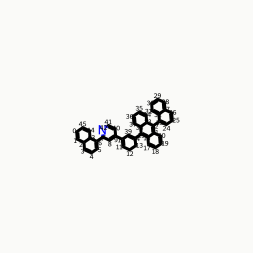 C1=CC2C=CC=C(c3cc(C4=CCCC(C5=c6ccccc6=C(c6cccc7ccccc67)C6C=CC=CC56)=C4)ccn3)C2C=C1